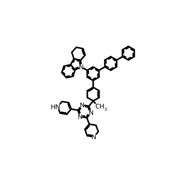 CC1(c2nc(C3=CCNC=C3)nc(C3=CC=NCC3)n2)C=CC(c2cc(-c3ccc(-c4ccccc4)cc3)cc(-n3c4c(c5ccccc53)CCC=C4)c2)=CC1